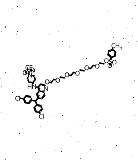 Cc1ccc(S(=O)(=O)OCCOCCOCCOCCOCCOCCOc2cc(NC3CCN(S(=O)(=O)C(F)(F)F)CC3)c3cc(C(c4ccc(Cl)cc4)c4ccc(Cl)cc4)ccc3n2)cc1